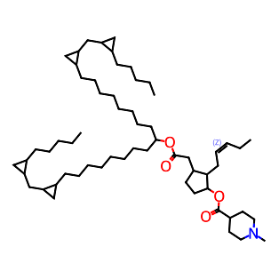 CC/C=C\CC1C(CC(=O)OC(CCCCCCCCC2CC2CC2CC2CCCCC)CCCCCCCCC2CC2CC2CC2CCCCC)CCC1OC(=O)C1CCN(C)CC1